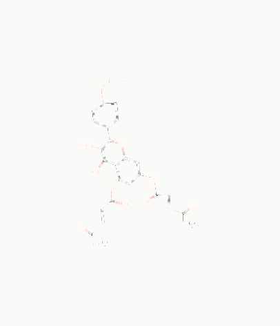 COC(=O)/C=C/C(=O)Oc1cc(OC(=O)/C=C/C(=O)OC)c2c(=O)c(O)c(-c3ccc(OC=O)cc3)oc2c1